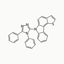 c1ccc(-c2nnc(-n3c4ccccc4c4c5sccc5ccc43)n2-c2ccccc2)cc1